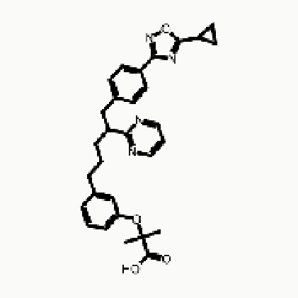 CC(C)(Oc1cccc(CCCC(Cc2ccc(-c3noc(C4CC4)n3)cc2)c2ncccn2)c1)C(=O)O